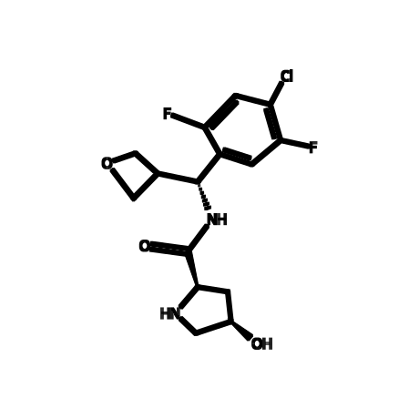 O=C(N[C@@H](c1cc(F)c(Cl)cc1F)C1COC1)[C@H]1C[C@@H](O)CN1